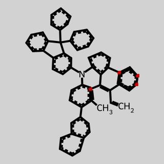 C=C/C(=C(\C=C/C)c1c(-c2ccccc2)cccc1N(c1ccc(-c2ccc3ccccc3c2)cc1)c1ccc2c(c1)C(c1ccccc1)(c1ccccc1)c1ccccc1-2)c1ccccc1